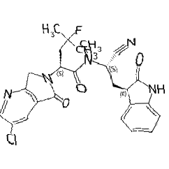 CN(C(=O)[C@H](CC(C)(C)F)N1Cc2ncc(Cl)cc2C1=O)[C@H](C#N)C[C@H]1C(=O)Nc2ccccc21